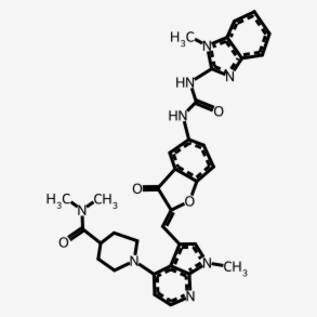 CN(C)C(=O)C1CCN(c2ccnc3c2c(C=C2Oc4ccc(NC(=O)Nc5nc6ccccc6n5C)cc4C2=O)cn3C)CC1